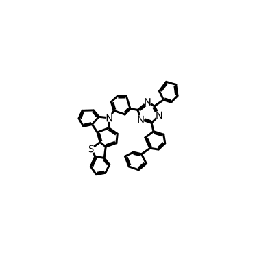 c1ccc(-c2cccc(-c3nc(-c4ccccc4)nc(-c4cccc(-n5c6ccccc6c6c7sc8ccccc8c7ccc65)c4)n3)c2)cc1